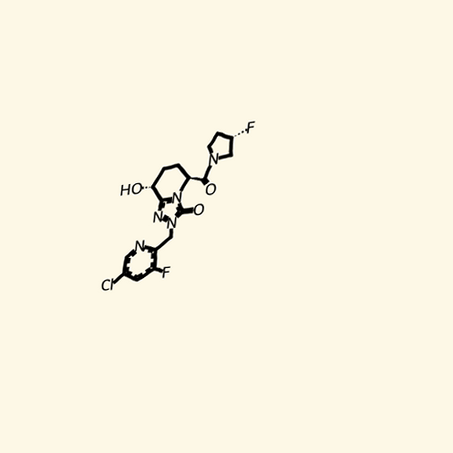 O=C([C@@H]1CC[C@@H](O)c2nn(Cc3ncc(Cl)cc3F)c(=O)n21)N1CC[C@H](F)C1